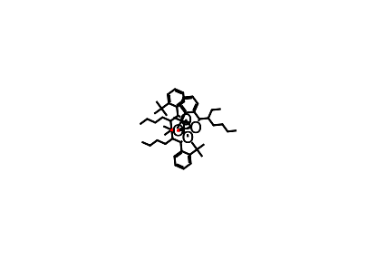 CCCCC(CC)C(OP(=O)(OC(c1ccccc1C(C)(C)C)C(CC)CCCC)OC(c1ccccc1C(C)(C)C)C(CC)CCCC)c1ccccc1C(C)(C)C